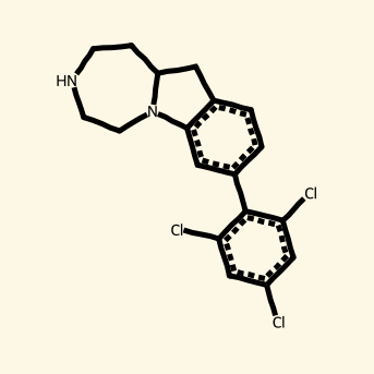 Clc1cc(Cl)c(-c2ccc3c(c2)N2CCNCCC2C3)c(Cl)c1